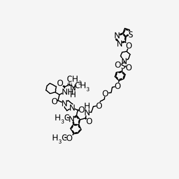 CN[C@@H](C)C(=O)NC(C(=O)N1CCN(C(=O)c2c(C(=O)NCCOCCOCCOc3ccc(S(=O)(=O)N4CCC(Oc5ncnc6ccsc56)CC4)cc3)c3ccc(OC)cc3n2C)CC1)C1CCCCC1